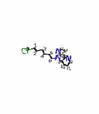 ClCCCCCCN(Cc1cccnc1)C1=NCCS1